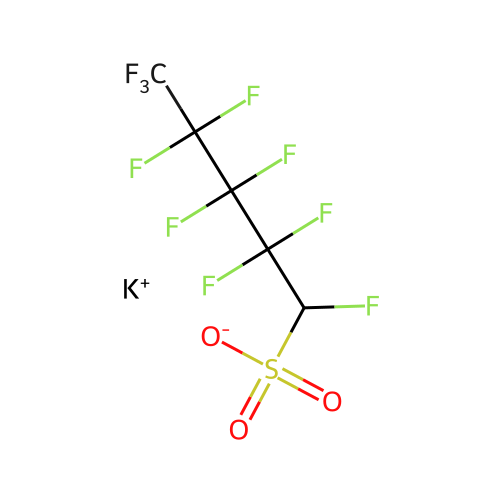 O=S(=O)([O-])C(F)C(F)(F)C(F)(F)C(F)(F)C(F)(F)F.[K+]